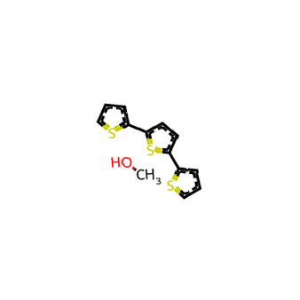 CO.c1csc(-c2ccc(-c3cccs3)s2)c1